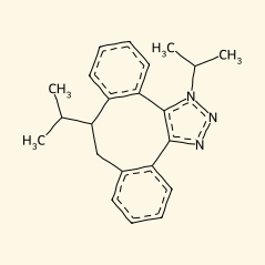 CC(C)C1Cc2ccccc2-c2nnn(C(C)C)c2-c2ccccc21